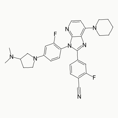 CN(C)C1CCN(c2ccc(-n3c(-c4ccc(C#N)c(F)c4)nc4c(N5CCCCC5)ccnc43)c(F)c2)C1